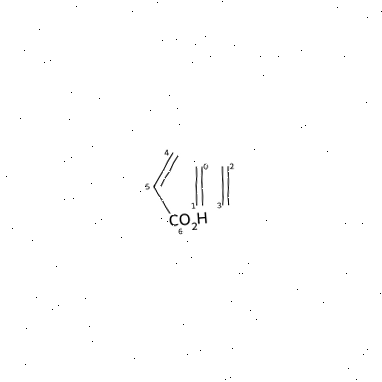 C=C.C=C.C=CC(=O)O